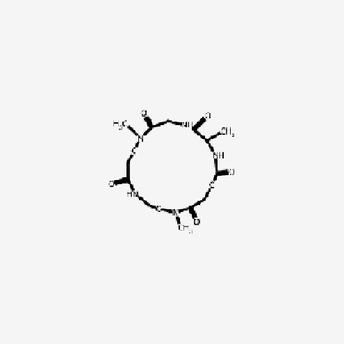 CC1NC(=O)CCC(=O)N(C)CCNC(=O)CCN(C)C(=O)CNC1=O